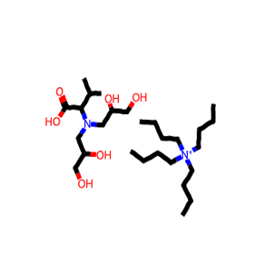 CC(C)C(C(=O)O)N(CC(O)CO)CC(O)CO.CCCC[N+](CCCC)(CCCC)CCCC